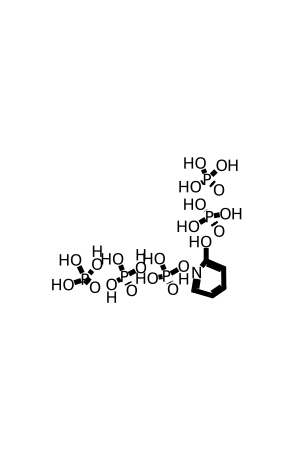 O=P(O)(O)O.O=P(O)(O)O.O=P(O)(O)O.O=P(O)(O)O.O=P(O)(O)O.Oc1ccccn1